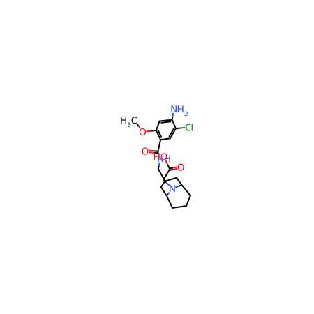 COc1cc(N)c(Cl)cc1C(=O)NCC1CC2CCCC(C1)N2CC(=O)O